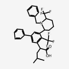 CC(C)CC(C(=O)O)c1cc(-c2ccccc2)cc(C2CCCC(C(F)(F)F)N2Cc2ccccc2)c1C(F)(F)F